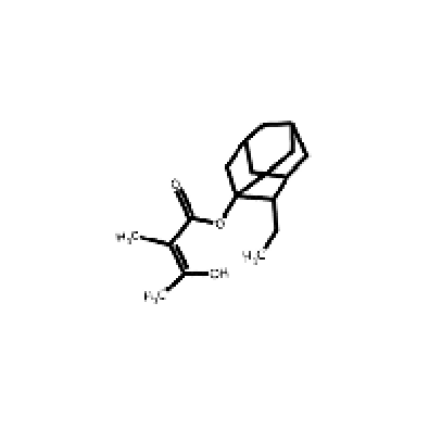 CCC1C2CC3CC(C2)CC1(OC(=O)C(C)=C(C)O)C3